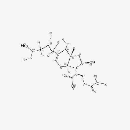 C=C(CC[C@@H](C(=O)O)[C@H]1[C@H](O)C[C@@]2(C)C(CC)C(C(C)(C)[C@@H](C)C(C)(C)C(O)CC)=CC[C@]12C)C(C)C